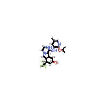 Cc1cnc(OC(C)C)c(Nc2[nH]ccn3cc4c(C(F)(F)F)cc(=O)cc4c23)c1